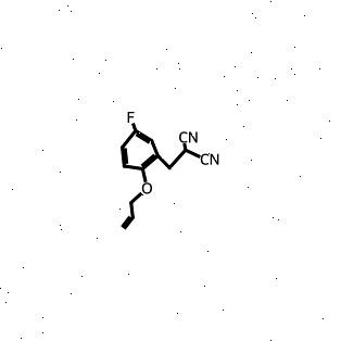 C=CCOc1ccc(F)cc1CC(C#N)C#N